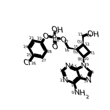 Nc1ncnc2c1ncn2[C@@H]1C[C@H](CO)[C@@H]1COP(=O)(O)Oc1ccc(Cl)cc1